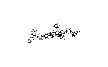 CCOP(=O)(CN1CCN(CC[C@H](CSc2ccccc2)N(c2ccc(S(=O)(=O)NC(=O)c3ccc(N4CCN(CC5=C(c6ccc(Cl)cc6)CCC(C)(C)C5)CC4)cc3)cc2S(=O)(=O)C(F)(F)F)S(C)(=O)=O)CC1)OCC